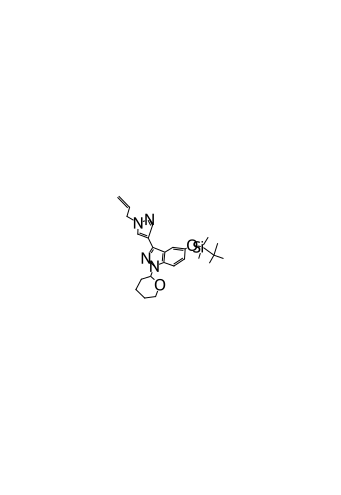 C=CCn1cc(-c2nn(C3CCCCO3)c3ccc(O[Si](C)(C)C(C)(C)C)cc23)cn1